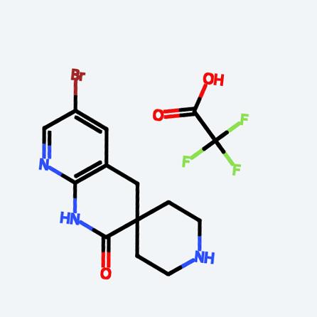 O=C(O)C(F)(F)F.O=C1Nc2ncc(Br)cc2CC12CCNCC2